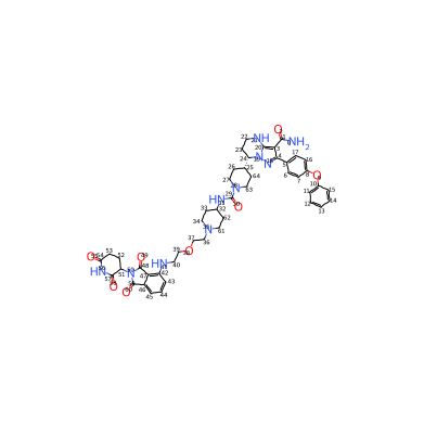 NC(=O)c1c(-c2ccc(Oc3ccccc3)cc2)nn2c1NCC[C@H]2C1CCN(C(=O)NC2CCN(CCOCCNc3cccc4c3C(=O)N(C3CCC(=O)NC3=O)C4=O)CC2)CC1